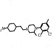 Cc1cc(Cl)c(Cl)c(N2CCN(CCC3CCC(N)CC3)CC2C)c1